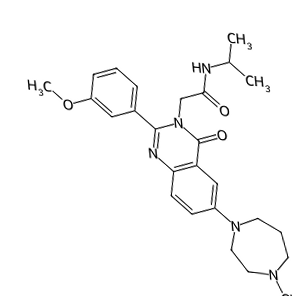 COc1cccc(-c2nc3ccc(N4CCCN(C)CC4)cc3c(=O)n2CC(=O)NC(C)C)c1